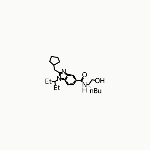 CCCC[C@@H](CO)NC(=O)c1ccc2c(c1)nc(CC1CCCC1)n2C(CC)CC